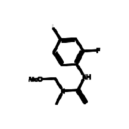 C=C(Nc1ccc(I)cc1F)N(C)COC